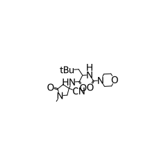 CN1CC(C#N)(NC(=O)C(CC(C)(C)C)NC(=O)N2CCOCC2)CC1=O